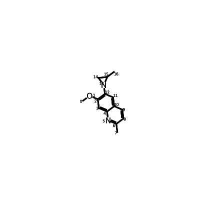 COc1cc2nc(C)ccc2cc1N1CC1C